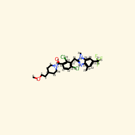 COCCC1CCN(C(=O)c2ccc(Cl)c(Cc3nc4c(C)cc(C(F)(F)F)cc4n3C)c2Cl)CC1